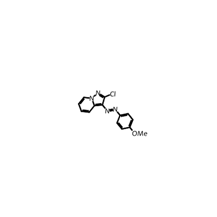 COc1ccc(N=Nc2c(Cl)nn3ccccc23)cc1